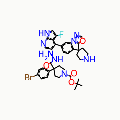 CC(C)(C)OC(=O)N1CCC(C(=O)NN)(c2ccc(Br)cc2)CC1.Fc1c[nH]c2nccc(-c3ccc(C4(c5nnco5)CCNCC4)cc3)c12